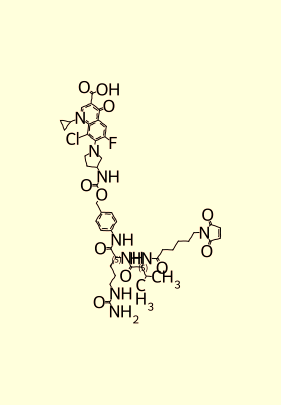 CC(C)[C@H](NC(=O)CCCCCN1C(=O)C=CC1=O)C(=O)N[C@@H](CCCNC(N)=O)C(=O)Nc1ccc(COC(=O)NC2CCN(c3c(F)cc4c(=O)c(C(=O)O)cn(C5CC5)c4c3Cl)C2)cc1